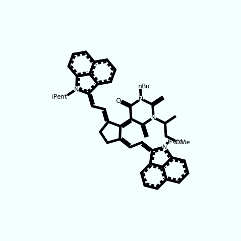 C=C1/C(=C2C(=C/C=c3\c4cccc5cccc(c54)n3C(C)CCC)\CCC\2=C/C=c2\c3cccc4cccc(c43)n2C(C)CCC)C(=O)N(CCCC)C(=C)N1C(C)COC